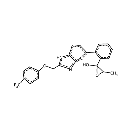 CC1OC1(O)c1ccccc1-c1ccc2[nH]c(COc3ccc(C(F)(F)F)cc3)nc2c1